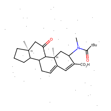 CN(C(=O)C(C)(C)C)C1C[C@@]2(C)C(=CCC3C4CCC[C@@]4(C)CC(=O)C32)C=C1C(=O)O